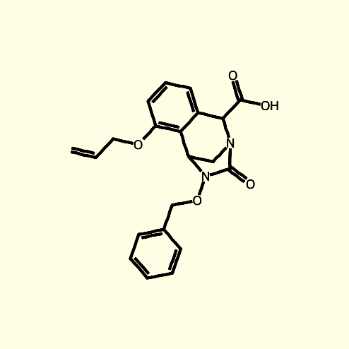 C=CCOc1cccc2c1C1CN(C(=O)N1OCc1ccccc1)C2C(=O)O